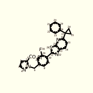 CCOC(=O)c1ccnn1Cc1ccc(-c2nc3ccc(C4(c5ccccc5)CC4)nc3s2)c(F)c1